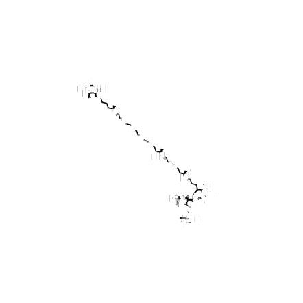 Nc1nc(=O)n([C@@H]2O[C@H](COP(=O)(O)O)C(OP(=O)(O)O)C2O)cc1CCCNC(=O)CCSSCCNC(=O)CCOCCOCCOCCOCCNC(=O)CCCC[C@@H]1SC[C@@H]2NC(=O)N[C@@H]21